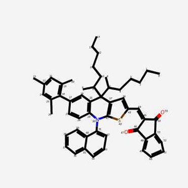 CCCCCC(C)C1(C(C)CCCCC)c2cc(-c3c(C)cc(C)cc3C)ccc2N(c2cccc3ccccc23)c2sc(C=C3C(=O)c4ccccc4C3=O)cc21